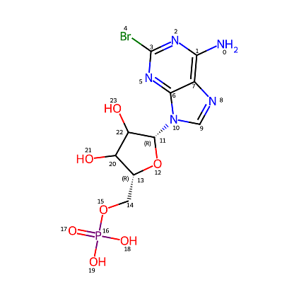 Nc1nc(Br)nc2c1ncn2[C@@H]1O[C@H](COP(=O)(O)O)C(O)C1O